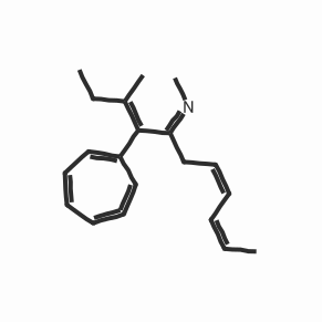 C/C=C\C=C/CC(=N/C)/C(C1=CC=CC=C=C1)=C(\C)CC